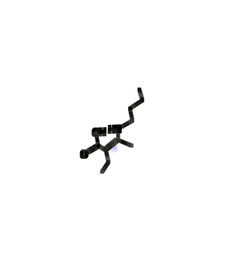 CCCCN/C(C)=C(/CC)C(=O)O